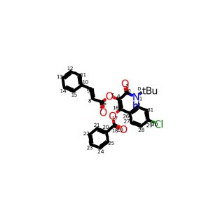 CC(C)(C)NC(=O)C(OC(=O)C=Cc1ccccc1)=C(OC(=O)c1ccccc1)c1ccc(Cl)cc1